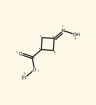 CCOC(=O)C1CC(=NO)C1